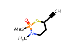 C#CC1CCN(C)P(=O)(SC)S1